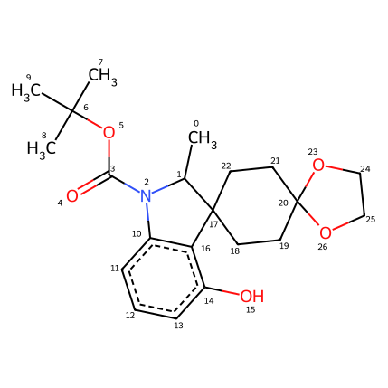 CC1N(C(=O)OC(C)(C)C)c2cccc(O)c2C12CCC1(CC2)OCCO1